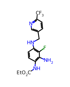 CCOC(=O)Nc1ccc(NCc2ccc(C(F)(F)F)nc2)c(F)c1N